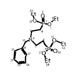 CCOP(=O)(CCN(CCP(=O)(OCC)OCC)Cc1ccccc1)OCC